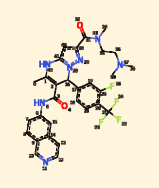 CC1=C(C(=O)Nc2ccc3cnccc3c2)C(c2ccc(C(F)(F)F)c(F)c2)n2nc(C(=O)N(C)CCN(C)C)cc2N1